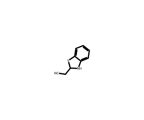 N#CCC1Nc2ccccc2S1